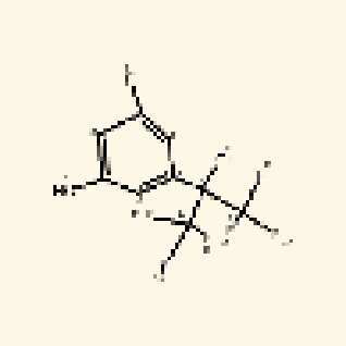 Oc1cc(F)cc(C(O)(C(F)(F)F)C(F)(F)F)c1